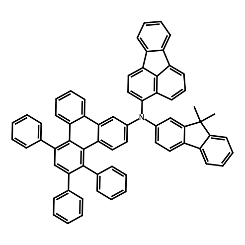 CC1(C)c2ccccc2-c2ccc(N(c3ccc4c(c3)c3ccccc3c3c(-c5ccccc5)cc(-c5ccccc5)c(-c5ccccc5)c43)c3ccc4c5c(cccc35)-c3ccccc3-4)cc21